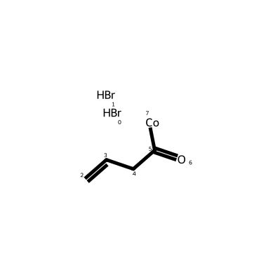 Br.Br.C=CC[C](=O)[Co]